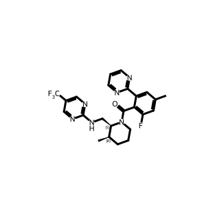 Cc1cc(F)c(C(=O)N2CCC[C@@H](C)[C@H]2CNc2ncc(C(F)(F)F)cn2)c(-c2ncccn2)c1